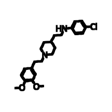 COc1ccc(CCN2CCC(CCNc3ccc(Cl)cc3)CC2)cc1OC